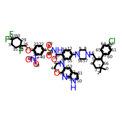 CC1(C)CCC(CN2CCN(c3ccc(C(=O)NS(=O)(=O)c4ccc(OCC5(F)CCC(F)(F)CC5)c([N+](=O)[O-])c4)c(N4CCOc5nc6[nH]ccc6cc54)c3)CC2)=C(c2ccc(Cl)cc2)C1